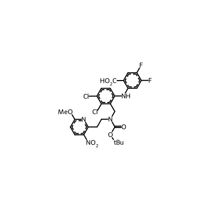 COc1ccc([N+](=O)[O-])c(CCN(Cc2c(Nc3cc(F)c(F)cc3C(=O)O)ccc(Cl)c2Cl)C(=O)OC(C)(C)C)n1